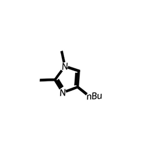 CCCCc1cn(C)c(C)n1